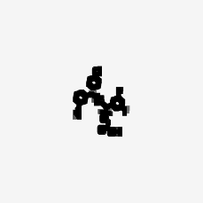 CC(C)(OCC(=O)O)[C@H](c1cc(F)cc(F)c1)C1CN([C@@H](c2ccc(Cl)cc2)c2cccc(C#N)c2)C1